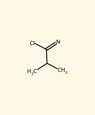 CC(C)C(=[N])Cl